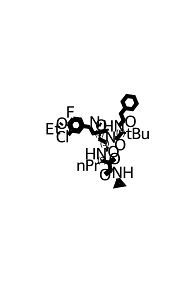 CCC[C@H](NC(=O)[C@@H]1C[C@]2(CC(c3cc(F)c(OCC)c(Cl)c3)=NO2)CN1C(=O)[C@@H](NC(=O)CC1CCCCC1)C(C)(C)C)C(=O)C(=O)NC1CC1